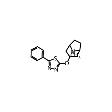 CN1C2CCC1CC(Oc1nnc(-c3ccccc3)s1)C2